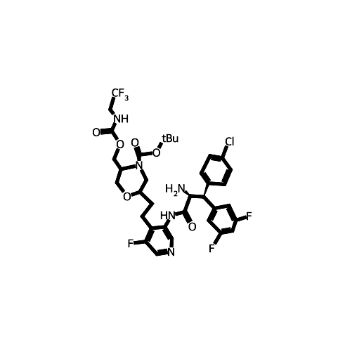 CC(C)(C)OC(=O)N1CC(CCc2c(F)cncc2NC(=O)[C@@H](N)[C@@H](c2ccc(Cl)cc2)c2cc(F)cc(F)c2)OCC1COC(=O)NCC(F)(F)F